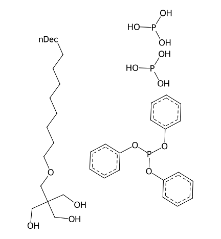 CCCCCCCCCCCCCCCCCCOCC(CO)(CO)CO.OP(O)O.OP(O)O.c1ccc(OP(Oc2ccccc2)Oc2ccccc2)cc1